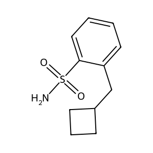 NS(=O)(=O)c1ccccc1CC1CCC1